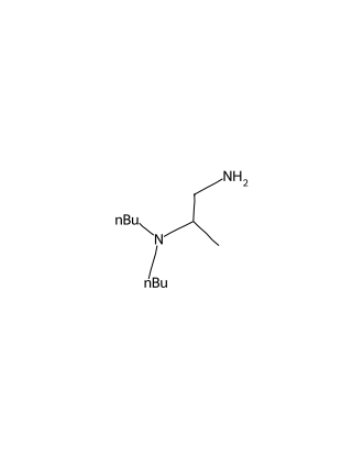 CCCCN(CCCC)C(C)CN